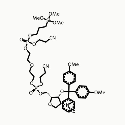 COc1ccc(C(O[C@@H]2[C@H](N(C)C(C)=O)CO[C@@H]2COP(=O)(OCCC#N)OCCOCCOP(=O)(OCCC#N)OCCC[Si](OC)(OC)OC)(c2ccccc2)c2ccc(OC)cc2)cc1